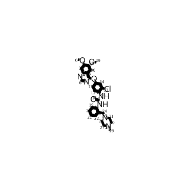 COc1cc2ncnc(Oc3ccc(NC(=O)Nc4ccccc4CN4CCN(C)CC4)c(Cl)c3)c2cc1OC